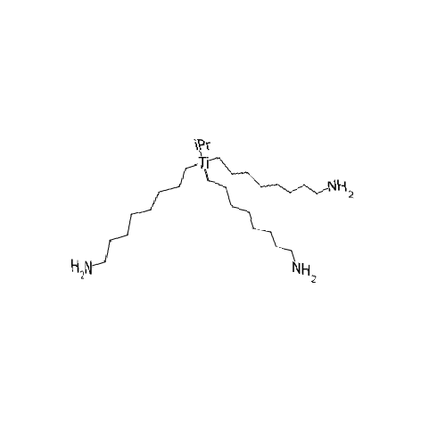 C[CH](C)[Ti]([CH2]CCCCCCCN)([CH2]CCCCCCCN)[CH2]CCCCCCCN